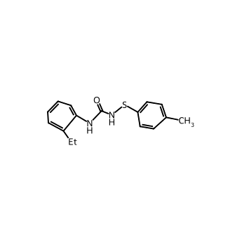 CCc1ccccc1NC(=O)NSc1ccc(C)cc1